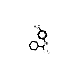 Cc1ccc(NC(C)C2CCCCC2)cc1